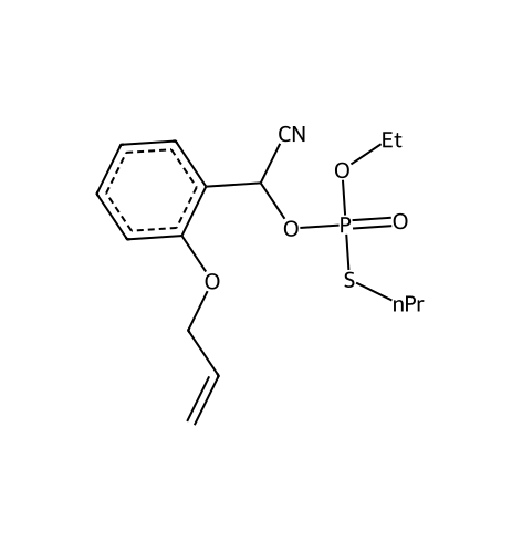 C=CCOc1ccccc1C(C#N)OP(=O)(OCC)SCCC